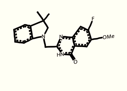 COc1cc2c(=O)[nH]c(CN3CC(C)(C)c4ccccc43)nc2cc1F